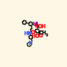 CC1(C(=O)O)C=CC=C(C(=O)O)C1.I.O=C(C=Cc1cccc(-c2ccccc2)c1)Nc1ccc(CN2CCCCC2)cc1